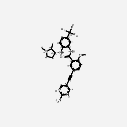 COc1ccc(C#Cc2cnc(N)nc2)cc1C(=O)Nc1cc(C(F)(F)F)ccc1N[C@@H]1CCN(C)C1C